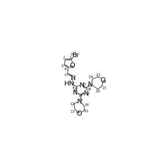 Brc1ccc(/C=N/Nc2nc(N3CCOCC3)nc(N3CCOCC3)n2)o1